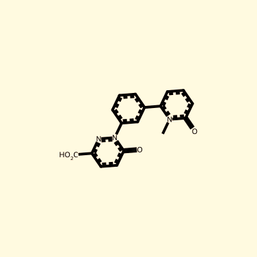 Cn1c(-c2cccc(-n3nc(C(=O)O)ccc3=O)c2)cccc1=O